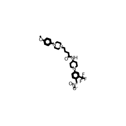 COc1ccc(N2CCN(CCCC(=O)NC3CCN(c4ccc(C[N+](=O)[O-])c(C(F)(F)F)c4)CC3)CC2)cc1